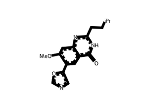 COc1cc2nc(CCC(C)C)[nH]c(=O)c2cc1-c1cnco1